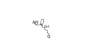 [O]CCCCC(O)CN1CCCC1CO